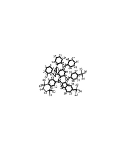 Cc1ccccc1N1c2cc3c(cc2B2c4sc5ccc(C(C)(C)C)cc5c4N(c4ccc(C(C)(C)C)cc4)c4cc(N(c5ccccc5)c5ccccc5C#N)cc1c42)C(C)(C)CCC3(C)C